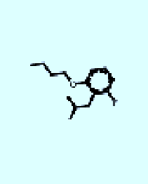 CCCCOc1cccc(F)c1CC(C)C